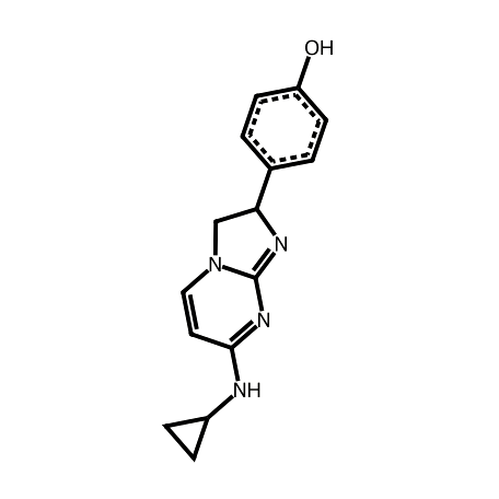 Oc1ccc(C2CN3C=CC(NC4CC4)=NC3=N2)cc1